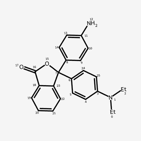 CCN(CC)c1ccc(C2(c3ccc(N)cc3)OC(=O)c3ccccc32)cc1